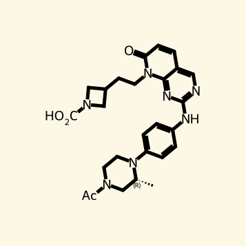 CC(=O)N1CCN(c2ccc(Nc3ncc4ccc(=O)n(CCC5CN(C(=O)O)C5)c4n3)cc2)[C@H](C)C1